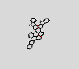 c1ccc(-c2ccccc2N(c2ccc3c(c2)oc2ccccc23)c2ccccc2-c2ccc3sc4ccccc4c3c2)c(-c2ccc3ccccc3c2)c1